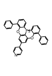 S=P12c3cccc(-c4ccccc4)c3Oc3cc(-c4ccncc4)cc(c31)Oc1c(-c3ccccc3)cccc12